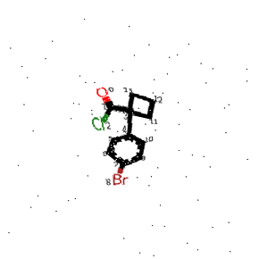 O=C(Cl)C1(c2ccc(Br)cc2)CCC1